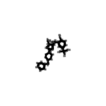 Cn1nc(N2CCC(Oc3ccncc3)CC2)nc1Nc1cc(C(F)(F)F)ccc1F